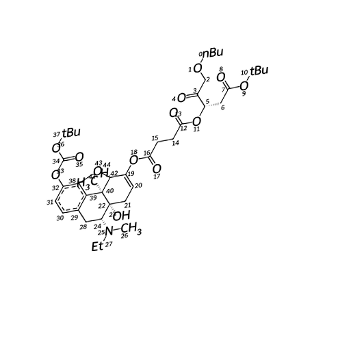 CCCCOCC(=O)[C@H](CC(=O)OC(C)(C)C)OC(=O)CCC(=O)OC1=CC[C@@]2(O)[C@H](N(C)CC)Cc3ccc(OC(=O)OC(C)(C)C)c4c3[C@@]2(C)[C@H]1O4